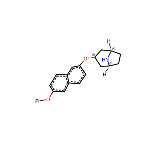 CC(C)Oc1ccc2cc(O[C@@H]3C[C@H]4CC[C@@H](C3)N4)ccc2c1